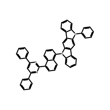 c1ccc(-c2cc(-c3ccccc3)nc(-c3cccc4c(-n5c6ccccc6c6cc7c(cc65)c5ccccc5n7-c5ccccc5)cccc34)n2)cc1